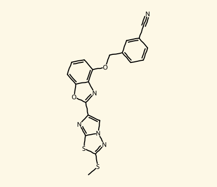 CSc1nn2cc(-c3nc4c(OCc5cccc(C#N)c5)cccc4o3)nc2s1